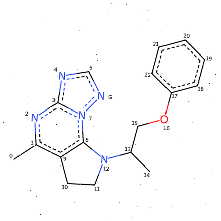 Cc1nc2ncnn2c2c1CCN2C(C)COc1ccccc1